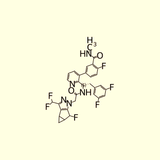 CNC(=O)c1cc(-c2cccnc2[C@H](Cc2cc(F)cc(F)c2)NC(=O)Cn2nc(C(F)F)c3c2C(F)C2CC32)ccc1F